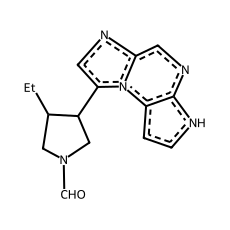 CCC1CN(C=O)CC1c1cnc2cnc3[nH]ccc3n12